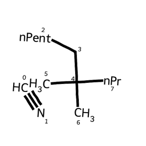 C#N.CCCCCCC(C)(C)CCC